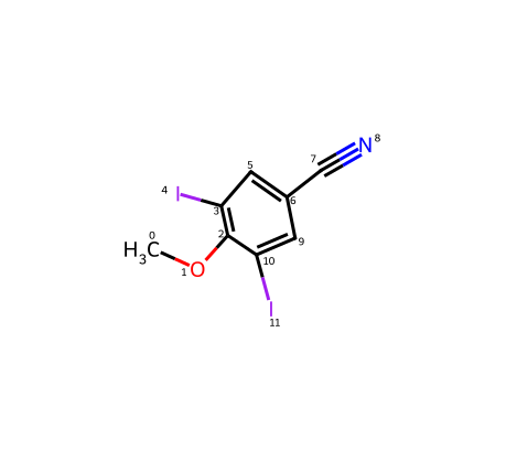 COc1c(I)cc(C#N)cc1I